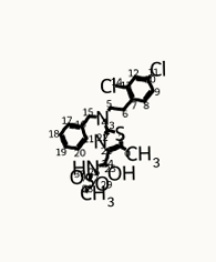 Cc1sc(N(CCc2ccc(Cl)cc2Cl)Cc2ccccc2)nc1C(O)NS(C)(=O)=O